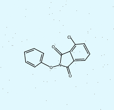 O=C1c2cccc(Cl)c2C(=O)N1Oc1ccccc1